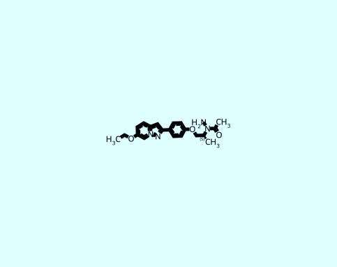 CCOc1ccc2cc(-c3ccc(OC[C@H](C)N(N)C(C)=O)cc3)nn2c1